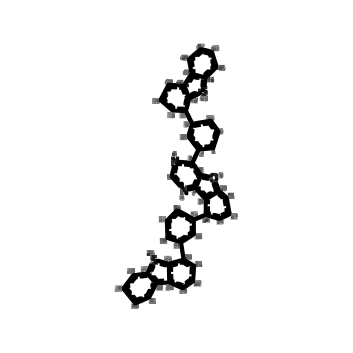 c1cc(-c2ncnc3c2oc2cccc(-c4cccc(-c5cccc6c5sc5ccccc56)c4)c23)cc(-c2cccc3c2sc2ccccc23)c1